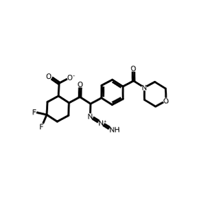 N=[N+]=NC(C(=O)C1CCC(F)(F)CC1C(=O)[O-])c1ccc(C(=O)N2CCOCC2)cc1